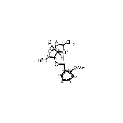 CCC[C@H]1O[C@@H]2OC(C)O[C@@H]2[C@H]1OCc1ccccc1OC